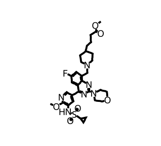 COC(=O)CCCC1CCN(Cc2cc(F)cc3c(-c4cnc(OC)c(NS(=O)(=O)C5CC5)c4)nc(N4CCOCC4)nc23)CC1